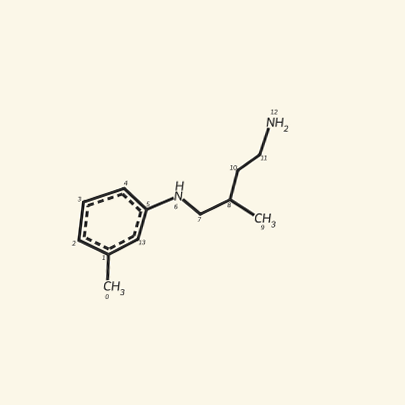 Cc1cccc(NCC(C)CCN)c1